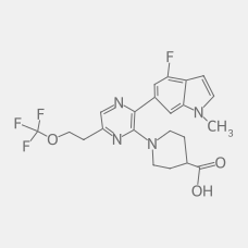 Cn1ccc2c(F)cc(-c3ncc(CCOC(F)(F)F)nc3N3CCC(C(=O)O)CC3)cc21